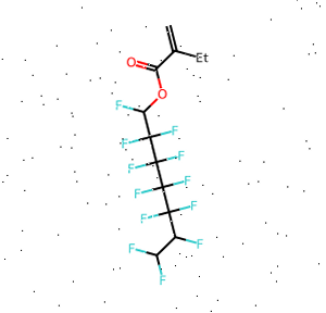 C=C(CC)C(=O)OC(F)C(F)(F)C(F)(F)C(F)(F)C(F)(F)C(F)C(F)F